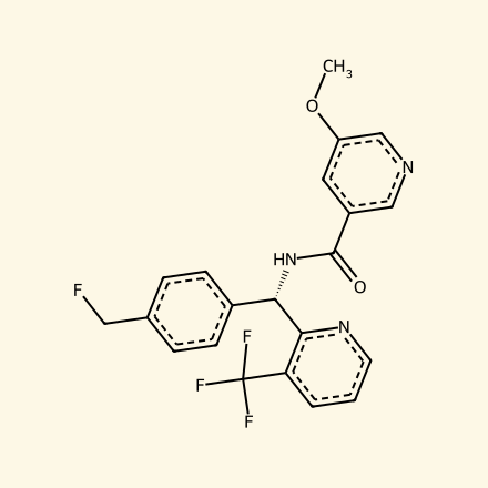 COc1cncc(C(=O)N[C@@H](c2ccc(CF)cc2)c2ncccc2C(F)(F)F)c1